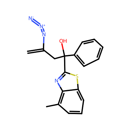 C=C(CC(O)(c1ccccc1)c1nc2c(C)cccc2s1)N=[N+]=[N-]